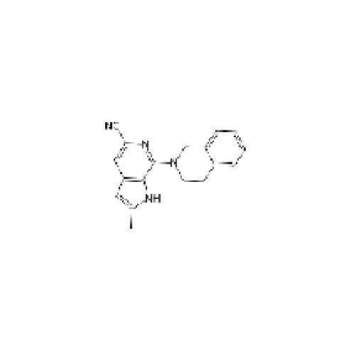 Cc1cc2cc(C#N)nc(N3CCc4ccccc4C3)c2[nH]1